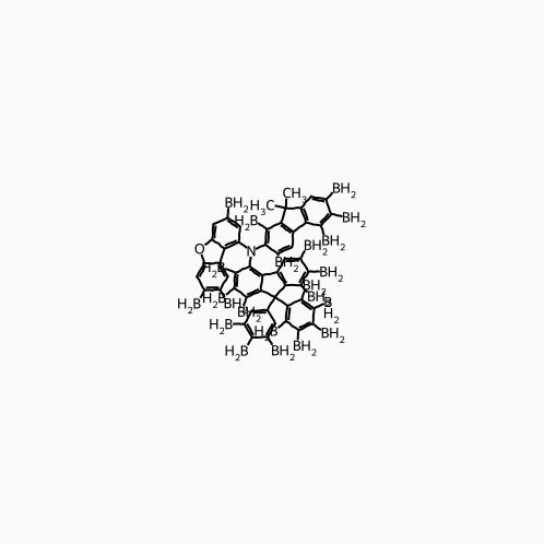 Bc1cc(N(c2c(B)cc3c(c2B)C(C)(C)c2cc(B)c(B)c(B)c2-3)c2c(B)c(B)c(B)c3c2-c2cc(B)c(B)c(B)c2C3(c2cc(B)c(B)c(B)c2)c2c(B)c(B)c(B)c(B)c2B)c2c(c1)oc1cc(B)c(B)cc12